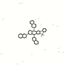 CC1(C)c2ccccc2-c2cc3c(-c4ccc5ccccc5c4)c4ccc(-c5ccc6ccccc6c5)cc4c(-c4ccc5ccccc5c4)c3cc21